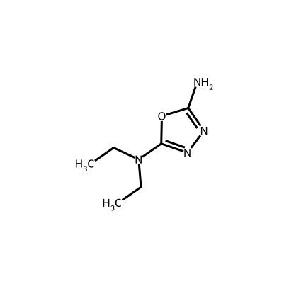 CCN(CC)c1nnc(N)o1